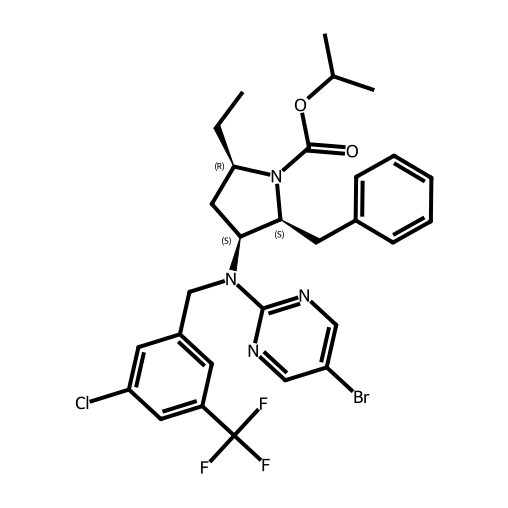 CC[C@@H]1C[C@H](N(Cc2cc(Cl)cc(C(F)(F)F)c2)c2ncc(Br)cn2)[C@H](Cc2ccccc2)N1C(=O)OC(C)C